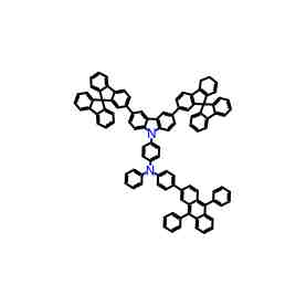 C1=CC2=C(CC1)c1ccc(-c3ccc4c(c3)c3cc(-c5ccc6c(c5)C5(c7ccccc7-c7ccccc75)c5ccccc5-6)ccc3n4-c3ccc(N(c4ccccc4)c4ccc(-c5ccc6c(-c7ccccc7)c7ccccc7c(-c7ccccc7)c6c5)cc4)cc3)cc1C21c2ccccc2-c2ccccc21